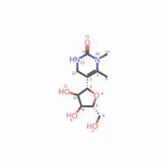 CC1=C([C@@H]2O[C@H](CO)C(O)C2O)CNC(=O)N1C